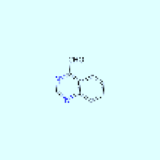 O=Cc1ncnc2ccccc12